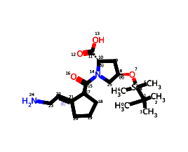 CC(C)(C)[Si](C)(C)O[C@@H]1C[C@@H](C(=O)O)N(C(=O)C2CCC/C2=C\CN)C1